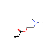 C=CC(=O)OCCN(CCCCCCC)CCCCCCCC